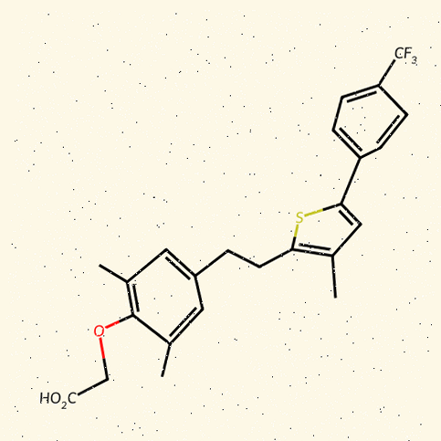 Cc1cc(-c2ccc(C(F)(F)F)cc2)sc1CCc1cc(C)c(OCC(=O)O)c(C)c1